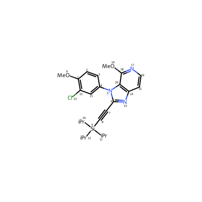 COc1ccc(-n2c(C#C[Si](C(C)C)(C(C)C)C(C)C)nc3ccnc(OC)c32)cc1Cl